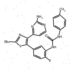 Cc1ccc(NC(=O)Nc2cc(-c3sc(C(C)(C)C)nc3-c3ccnc(N)n3)ccc2F)cc1